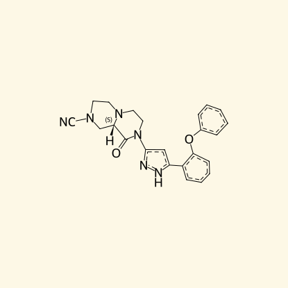 N#CN1CCN2CCN(c3cc(-c4ccccc4Oc4ccccc4)[nH]n3)C(=O)[C@@H]2C1